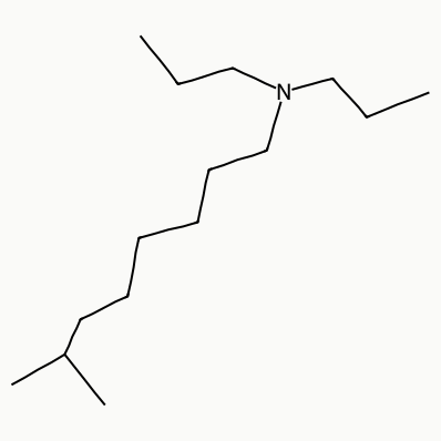 CCCN(CCC)CCCCCCC(C)C